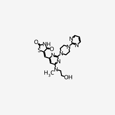 CN(CCO)c1cc(/C=C2/SC(=O)NC2=O)nc(N2CCN(c3ncccn3)CC2)n1